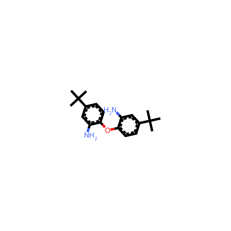 CC(C)(C)c1ccc(Oc2ccc(C(C)(C)C)cc2N)c(N)c1